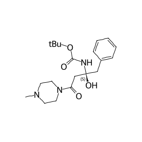 CN1CCN(C(=O)C[C@@](O)(Cc2ccccc2)NC(=O)OC(C)(C)C)CC1